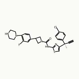 C#C[C@](C)(c1ccc(Cl)cc1)c1csc(NC(=O)N2CC(c3ccc(N4CCNCC4)c(F)c3)C2)n1